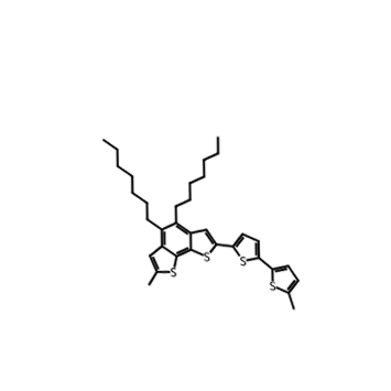 CCCCCCCc1c(CCCCCCC)c2cc(-c3ccc(-c4ccc(C)s4)s3)sc2c2sc(C)cc12